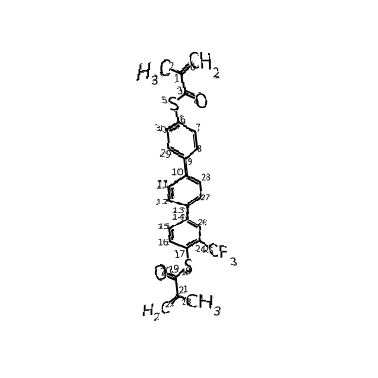 C=C(C)C(=O)Sc1ccc(-c2ccc(-c3ccc(SC(=O)C(=C)C)c(C(F)(F)F)c3)cc2)cc1